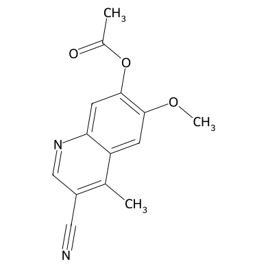 COc1cc2c(C)c(C#N)cnc2cc1OC(C)=O